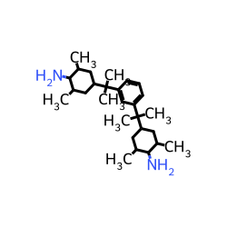 CC1CC(C(C)(C)c2cccc(C(C)(C)C3CC(C)C(N)C(C)C3)c2)CC(C)C1N